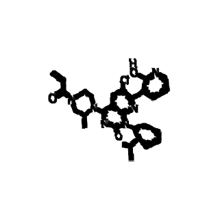 C=CC(=O)N1CCN(c2nc(=O)n(-c3ccccc3C(C)C)c3nc(-c4cccnc4O)c(Cl)cc23)C(C)C1